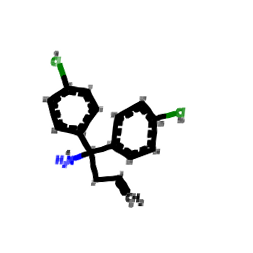 C=CCC(N)(c1ccc(Cl)cc1)c1ccc(Cl)cc1